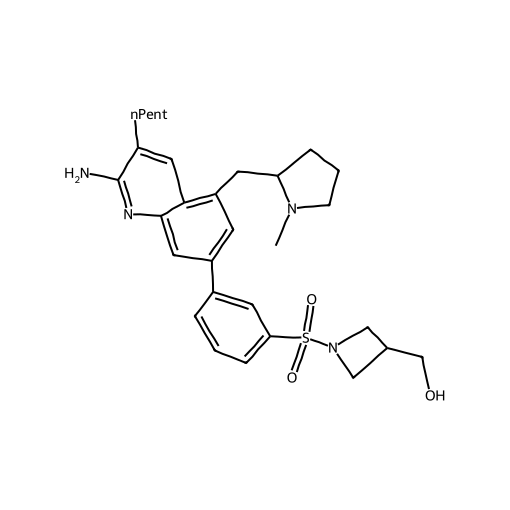 CCCCCc1cc2c(CC3CCCN3C)cc(-c3cccc(S(=O)(=O)N4CC(CO)C4)c3)cc2nc1N